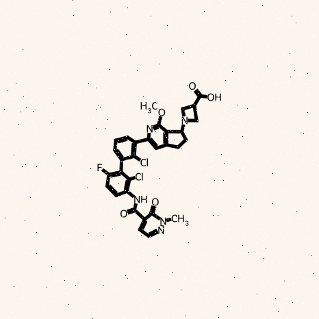 COc1nc(-c2cccc(-c3c(F)ccc(NC(=O)c4ccnn(C)c4=O)c3Cl)c2Cl)cc2c1C(N1CC(C(=O)O)C1)CC2